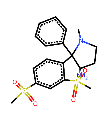 CN1CCC(N)C1(c1ccccc1)c1ccc(S(C)(=O)=O)cc1S(C)(=O)=O